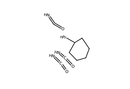 CCCC1CCCCC1.N=C=O.N=C=O.N=C=O